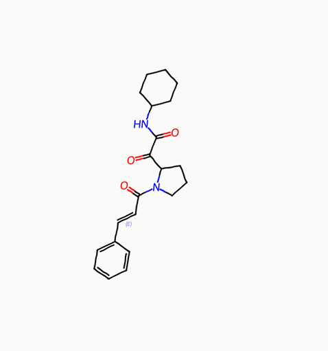 O=C(NC1CCCCC1)C(=O)C1CCCN1C(=O)/C=C/c1ccccc1